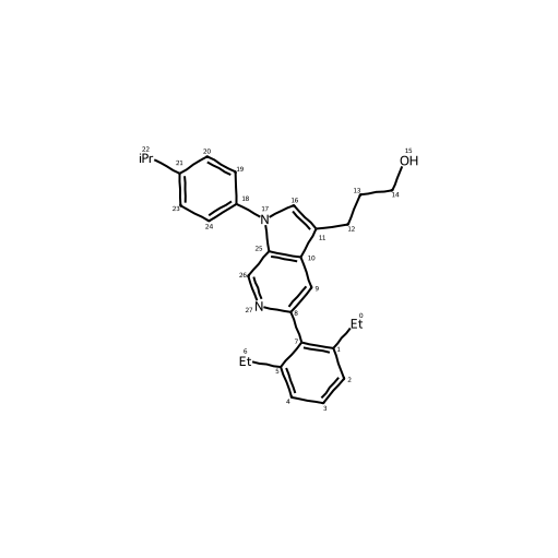 CCc1cccc(CC)c1-c1cc2c(CCCO)cn(-c3ccc(C(C)C)cc3)c2cn1